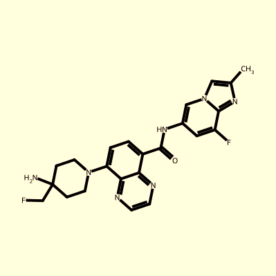 Cc1cn2cc(NC(=O)c3ccc(N4CCC(N)(CF)CC4)c4nccnc34)cc(F)c2n1